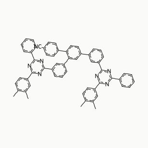 Cc1ccc(-c2nc(-c3ccccc3)nc(-c3cccc(-c4ccc(-c5ccc(C#N)cc5)c(-c5cccc(-c6nc(-c7ccccc7)nc(-c7ccc(C)c(C)c7)n6)c5)c4)c3)n2)cc1C